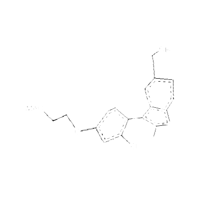 COCCOc1ccc(-c2c(C(F)(F)F)sc3ccc(CO)cc23)c(C)c1